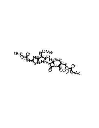 CO/N=C(\C(=O)N[C@@H]1C(=O)N2C(C(=O)O)=C(COC(=O)CC(C)=O)CS[C@H]12)c1nsc(NC(=O)OC(C)(C)C)n1